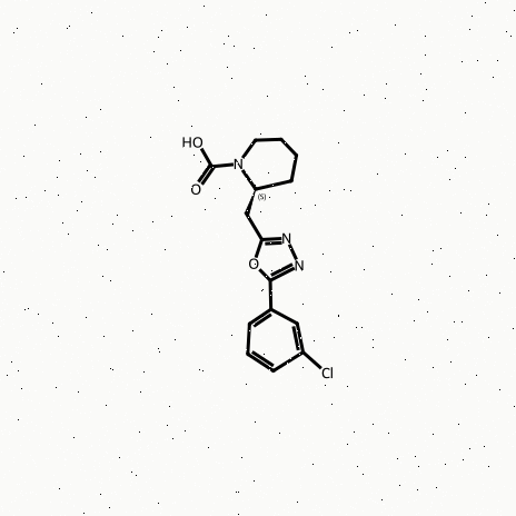 O=C(O)N1CCCC[C@H]1Cc1nnc(-c2cccc(Cl)c2)o1